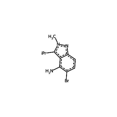 CC(C)c1c2c(N)c(Br)ccc2nn1C